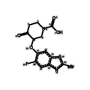 O=C1CCN(C(=O)O)CC1Oc1cc2sc(Br)nc2cc1F